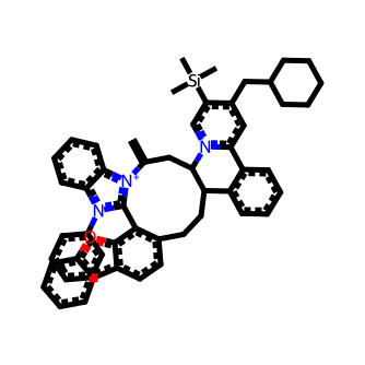 C=C1CC2C(CCc3ccc4c(oc5ccccc54)c3-c3n(-c4ccccc4)c4ccccc4[n+]31)c1ccccc1-c1cc(CC3CCCCC3)c([Si](C)(C)C)c[n+]12